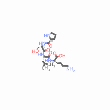 CC(C)C[C@H](NC(=O)[C@H](CO)NC(=O)[C@@H]1CCCN1)C(=O)N[C@@H](CCCCN)C(=O)O